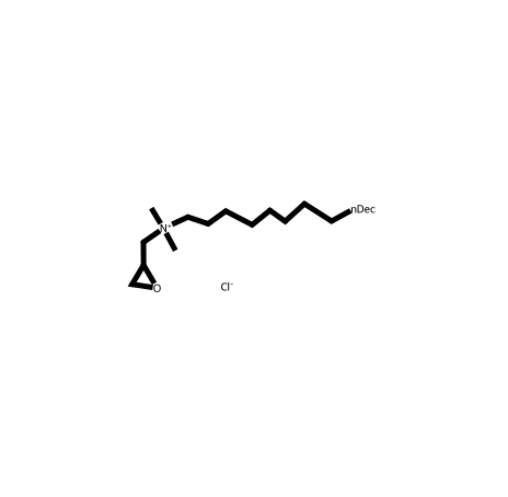 CCCCCCCCCCCCCCCCCC[N+](C)(C)CC1CO1.[Cl-]